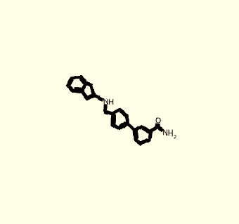 NC(=O)c1cccc(-c2ccc(CNC3Cc4ccccc4C3)cc2)c1